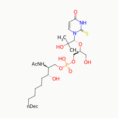 CCCCCCCCCCCCCCC[C@@H](O)[C@H](COP(=O)(O)OC[C@H](CO)O[C@@H](n1ccc(=O)[nH]c1=S)C(C)(C)O)NC(C)=O